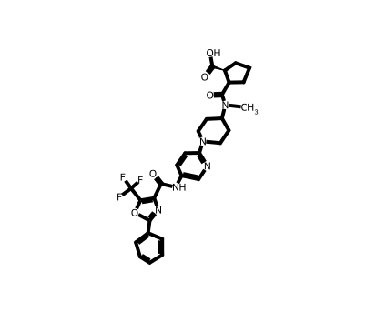 CN(C(=O)C1CCC[C@@H]1C(=O)O)C1CCN(c2ccc(NC(=O)c3nc(-c4ccccc4)oc3C(F)(F)F)cn2)CC1